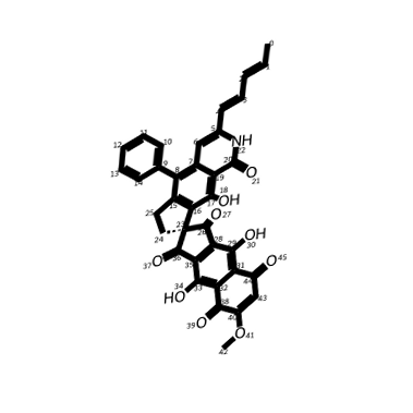 CC=CC=Cc1cc2c(-c3ccccc3)c3c(c(O)c2c(=O)[nH]1)[C@@]1(CC3)C(=O)c2c(O)c3c(c(O)c2C1=O)C(=O)C(OC)=CC3=O